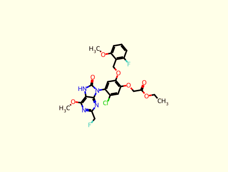 CCOC(=O)COc1cc(Cl)c(-n2c(=O)[nH]c3c(OC)nc(CF)nc32)cc1OCc1c(F)cccc1OC